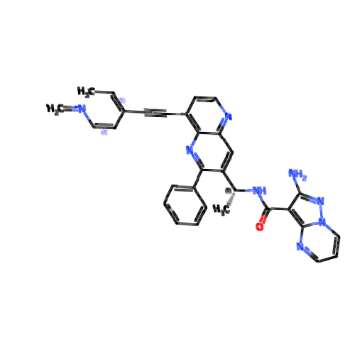 C=N/C=C\C(C#Cc1ccnc2cc([C@@H](C)NC(=O)c3c(N)nn4cccnc34)c(-c3ccccc3)nc12)=C/C